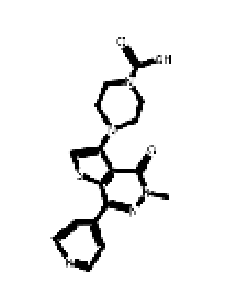 Cn1nc(-c2ccncc2)c2scc(N3CCN(C(=O)O)CC3)c2c1=O